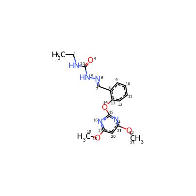 CCNC(=O)N/N=C/c1ccccc1Oc1nc(OC)cc(OC)n1